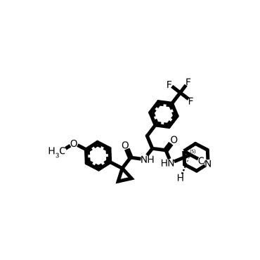 COc1ccc(C2(C(=O)NC(Cc3ccc(C(F)(F)F)cc3)C(=O)N[C@@H]3CN4CCC3CC4)CC2)cc1